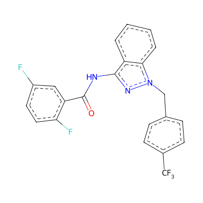 O=C(Nc1nn(Cc2ccc(C(F)(F)F)cc2)c2ccccc12)c1cc(F)ccc1F